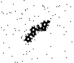 O=C(Nc1cccc2c1cnn2Cc1ccccc1)c1cnc2cc(Br)ccn12